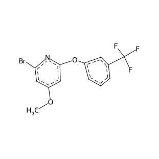 COc1cc(Br)nc(Oc2cccc(C(F)(F)F)c2)c1